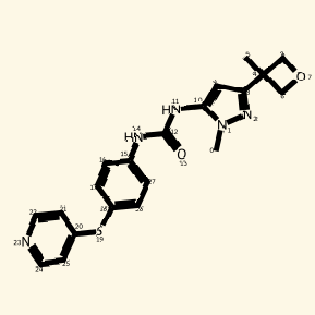 Cn1nc(C2(C)COC2)cc1NC(=O)Nc1ccc(Sc2ccncc2)cc1